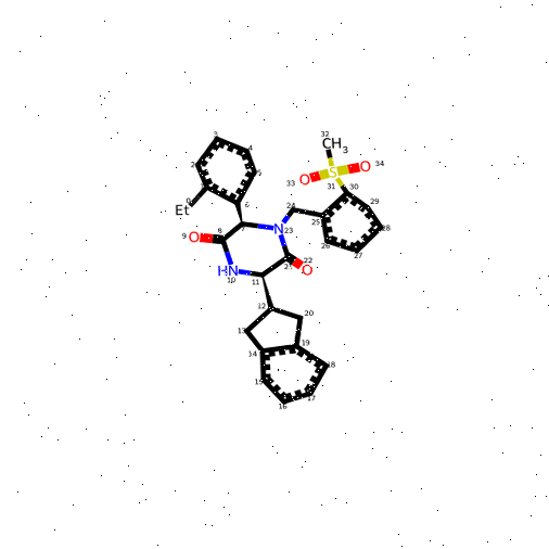 CCc1ccccc1[C@@H]1C(=O)N[C@H](C2Cc3ccccc3C2)C(=O)N1Cc1ccccc1S(C)(=O)=O